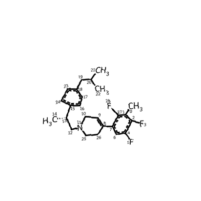 Cc1c(F)c(F)cc(C2=CCN(C[C@H](C)c3ccc(CC(C)C)cc3)CC2)c1F